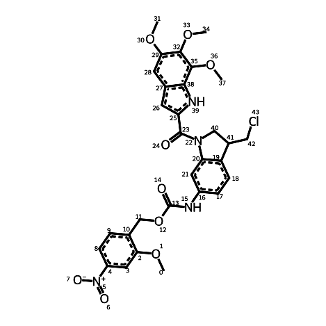 COc1cc([N+](=O)[O-])ccc1COC(=O)Nc1ccc2c(c1)N(C(=O)c1cc3cc(OC)c(OC)c(OC)c3[nH]1)CC2CCl